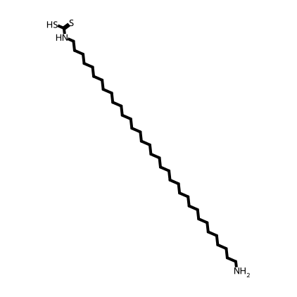 NCCCCCCCCCCCCCCCCCCCCCCCCCCCCCCCCCCCNC(=S)S